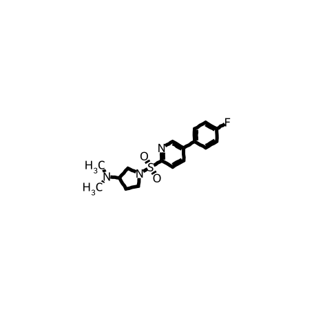 CN(C)C1CCN(S(=O)(=O)c2ccc(-c3ccc(F)cc3)cn2)C1